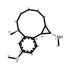 CN[C@H]1C2CCCCC[C@H](C)c3cc(OC)ccc3C21